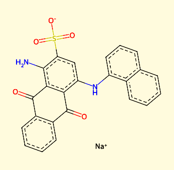 Nc1c(S(=O)(=O)[O-])cc(Nc2cccc3ccccc23)c2c1C(=O)c1ccccc1C2=O.[Na+]